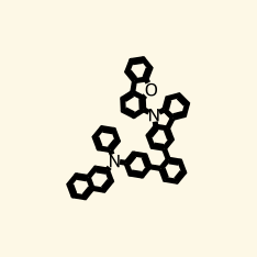 c1ccc(N(c2ccc(-c3ccccc3-c3ccc4c(c3)c3ccccc3n4-c3cccc4c3oc3ccccc34)cc2)c2ccc3ccccc3c2)cc1